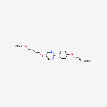 CCCCCCCCCC=CCOc1ccc(-c2ncc(OCCCCOCCCCCC)cn2)cc1